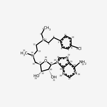 CCN(CCc1ccc(Cl)cc1)CCN(C)C[C@H]1O[C@@H](n2cnc3c(N)ncnc32)[C@H](O)[C@@H]1O